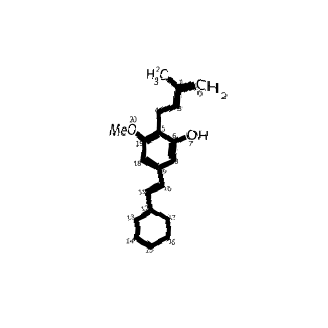 C=C(C)CCc1c(O)cc(C=CC2CCCCC2)cc1OC